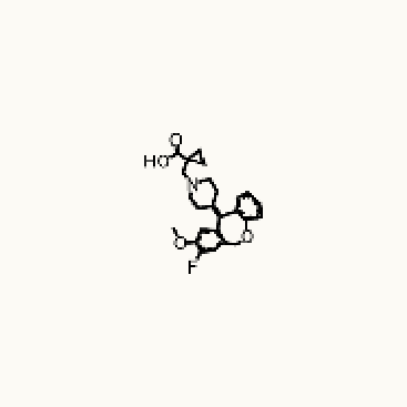 COc1cc2c(cc1F)COc1ccccc1C2=C1CCN(CC2(C(=O)O)CC2)CC1